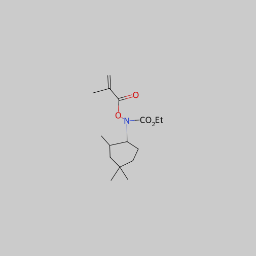 C=C(C)C(=O)ON(C(=O)OCC)C1CCC(C)(C)CC1C